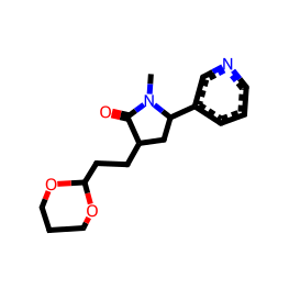 CN1C(=O)C(CCC2OCCCO2)CC1c1cccnc1